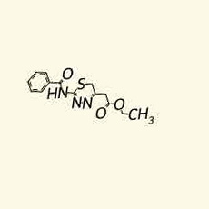 CCOC(=O)CC1=NN=C(NC(=O)c2ccccc2)SC1